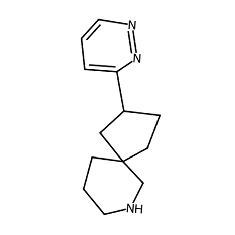 c1cnnc(C2CCC3(CCCNC3)C2)c1